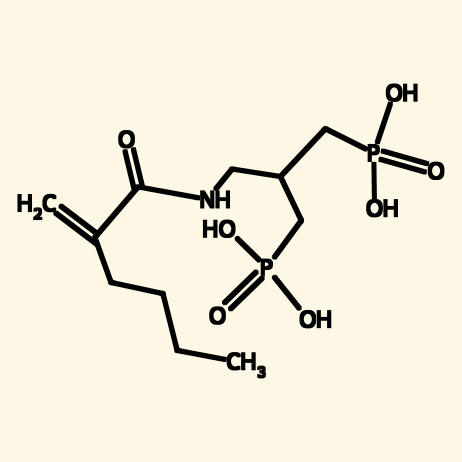 C=C(CCCC)C(=O)NCC(CP(=O)(O)O)CP(=O)(O)O